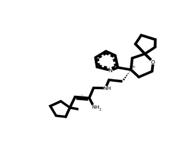 CC1(/C=C(\N)CNCC[C@@]2(c3ccccn3)CCOC3(CCCC3)C2)CCCC1